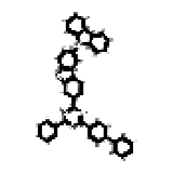 C1=CC(c2nc(-c3ccccc3)nc(-c3ccc(-c4ccccc4)cc3)n2)Cc2oc3ccc(-n4c5ccccc5c5ccccc54)cc3c21